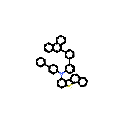 c1ccc(-c2ccc(N(c3cccc(-c4cccc(-c5cc6ccccc6c6ccccc56)c4)c3)c3cccc4sc5c6ccccc6ccc5c34)cc2)cc1